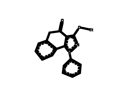 CCOc1nn(-c2ccccc2)c2c1C(=O)Cc1ccccc1-2